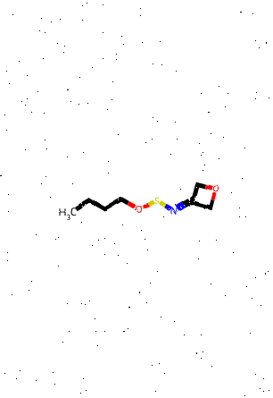 CCCCOSN=C1COC1